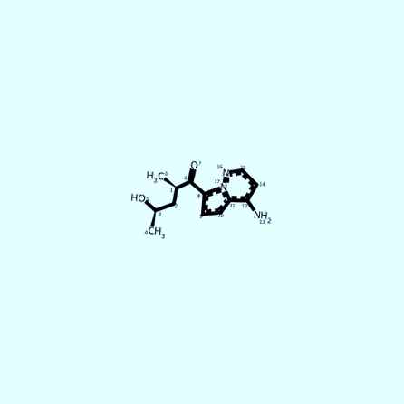 C[C@H](C[C@@H](C)O)C(=O)c1ccc2c(N)ccnn12